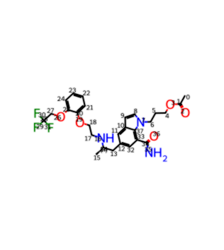 CC(=O)OCCCn1ccc2cc(C[C@@H](C)NCCOc3ccccc3OCC(F)(F)F)cc(C(N)=O)c21